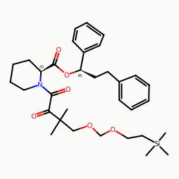 CC(C)(COCOCC[Si](C)(C)C)C(=O)C(=O)N1CCCC[C@H]1C(=O)O[C@H](CCc1ccccc1)c1ccccc1